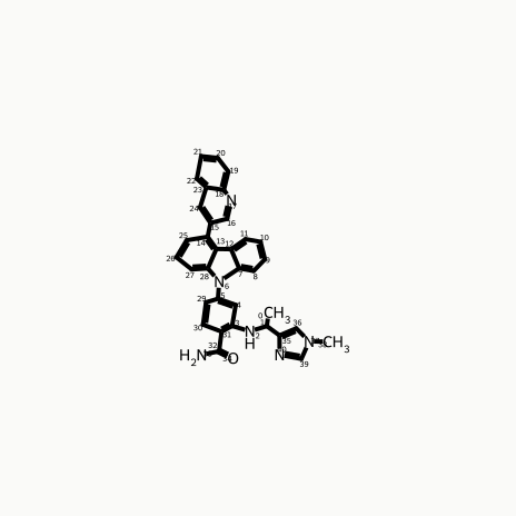 CC(Nc1cc(-n2c3ccccc3c3c(-c4cnc5ccccc5c4)cccc32)ccc1C(N)=O)c1cn(C)cn1